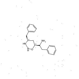 NC(Cc1ccccc1)[C@@H]1C[C@H](Cc2ccccc2)NBO1